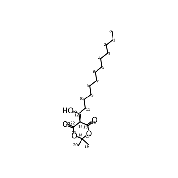 CCCCCCCCCCCCC(O)=C1C(=O)OC(C)(C)OC1=O